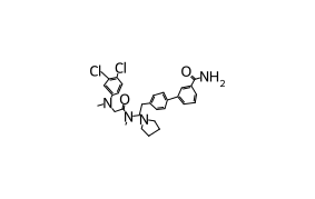 CN(CC(=O)N(C)C(Cc1ccc(-c2cccc(C(N)=O)c2)cc1)N1CCCC1)c1ccc(Cl)c(Cl)c1